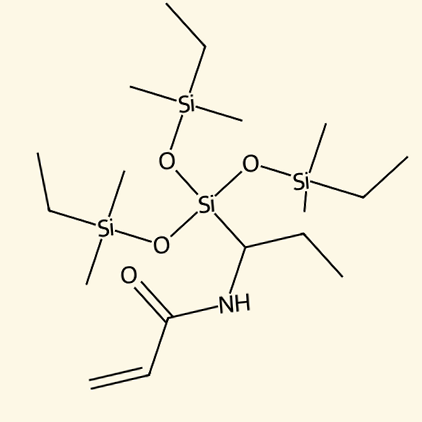 C=CC(=O)NC(CC)[Si](O[Si](C)(C)CC)(O[Si](C)(C)CC)O[Si](C)(C)CC